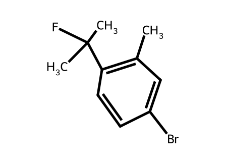 Cc1cc(Br)ccc1C(C)(C)F